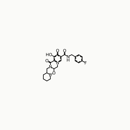 O=C(NCc1ccc(F)cc1)c1cn2c(c(O)c1=O)C(=O)N1CC3CCCCB3OC1C2